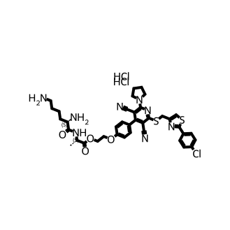 C[C@H](NC(=O)[C@@H](N)CCCCN)C(=O)OCCOc1ccc(-c2c(C#N)c(SCc3csc(-c4ccc(Cl)cc4)n3)nc(N3CCCC3)c2C#N)cc1.Cl.Cl